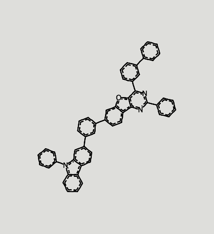 c1ccc(-c2cccc(-c3nc(-c4ccccc4)nc4c3oc3cc(-c5cccc(-c6ccc7c8ccccc8n(-c8ccccc8)c7c6)c5)ccc34)c2)cc1